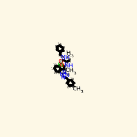 CCC(NC(=O)C(C)(c1ccccc1Cl)n1nnc(-c2ccc(C)cc2)n1)C(=O)NCc1ccccc1